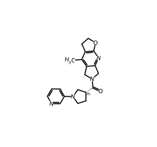 Cc1c2c(nc3c1CCO3)CN(C(=O)[C@@H]1CCN(c3cccnc3)C1)C2